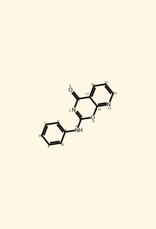 O=c1nc(Nc2ccccc2)oc2ncccc12